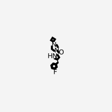 O=C([C@@H]1C[C@@H](Cc2cccc(F)c2)CN1)N1CCCN(C2CCC2)CC1